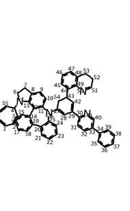 C1=CC=CC(N2CCc3ccc4c(c32)-c2ccccc2-c2ccccc2N4C2=CC(c3ccc(-c4ccccc4)cn3)=CC(c3cccc4c3N=CCC4)C2)C=C1